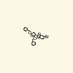 Cn1c(-c2ccc(OCc3ccccc3)nc2OCc2ccccc2)nc2ccc(Br)cc21